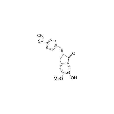 COc1cc2c(cc1O)C(=O)/C(=C/c1ccc(SC(F)(F)F)cc1)C2